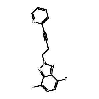 Fc1ccc(F)c2nn(CCC#Cc3ccccn3)nc12